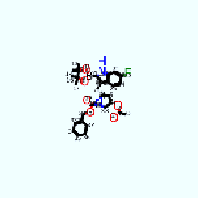 CC(=O)O[C@H]1C[C@@H](Cc2c(B3OC(C)(C)C(C)(C)O3)[nH]c3cc(F)ccc23)N(C(=O)OCc2ccccc2)C1